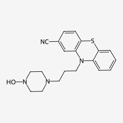 N#Cc1ccc2c(c1)N(CCCN1CCN(O)CC1)c1ccccc1S2